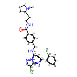 CN1CCCC1CCNC(=O)c1ccc(CNc2cc(-c3ccccc3F)nc3c(Br)cnn23)cc1